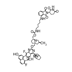 C#Cc1c(F)ccc2cc(O)cc(-c3ncc4c(N5CC6CCC(C5)N6)nc(OC[C@@]56CC[C@@H](COC(=O)NCCCCCNc7cccc8c7C(=O)N(C7CCC(=O)NC7=O)C8=O)N5CC(=C)C6)nc4c3F)c12